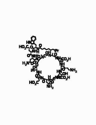 CC(C)CCCCCCC(=O)NC(Cc1c[nH]c2ccccc12)C(=O)NC(CCC(=O)O)C(=O)NC(CC(N)=O)C(=O)NC1C(=O)N(C)CC(=O)NC(C)C(=O)NC(CC(=O)O)C(=O)NC(CCCCN)C(=O)NC(C(O)C(=O)O)C(=O)NCC(=O)NC(CC(N)=O)C(=O)NC(C(C)CC(=O)O)C(=O)NC(C(C)C)C(=O)OC1C